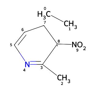 CC.CC1=NC=CC[C]1[N+](=O)[O-]